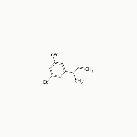 [CH2]C(C=C)c1cc(CC)cc(CCC)c1